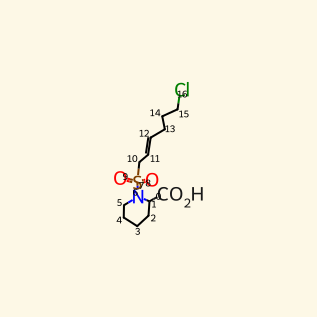 O=C(O)C1CCCCN1S(=O)(=O)CC=CCCCCl